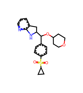 O=S(=O)(c1ccc(C(OC2CCOCC2)C2Cc3cccnc3N2)cc1)C1CC1